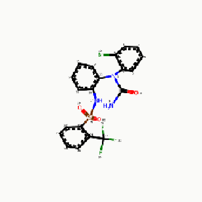 NC(=O)N(c1ccccc1Br)c1ccccc1NS(=O)(=O)c1ccccc1C(F)(F)F